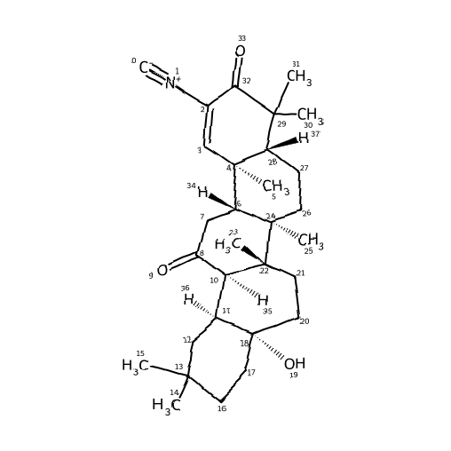 [C-]#[N+]C1=C[C@]2(C)[C@H]3CC(=O)[C@@H]4[C@@H]5CC(C)(C)CC[C@]5(O)CC[C@@]4(C)[C@]3(C)CC[C@H]2C(C)(C)C1=O